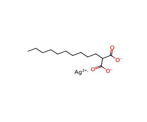 CCCCCCCCCCC(C(=O)[O-])C(=O)[O-].[Ag+2]